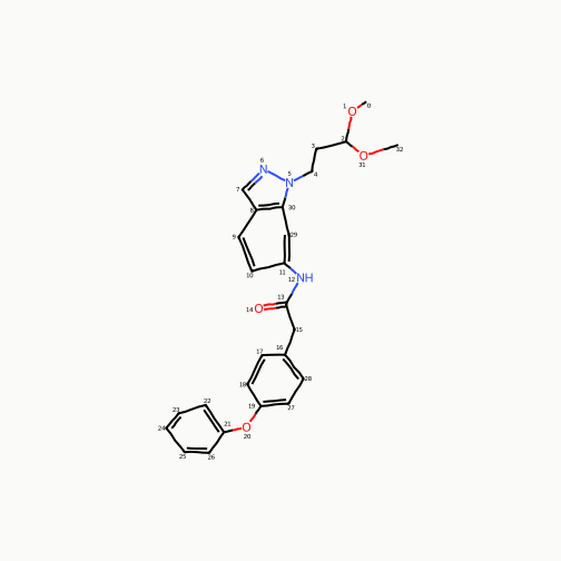 COC(CCn1ncc2ccc(NC(=O)Cc3ccc(Oc4ccccc4)cc3)cc21)OC